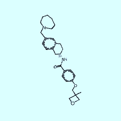 CC1(COc2ccc(C(=O)N[C@H]3CCc4cc(CN5CCCCCC5)ccc4C3)cc2)COC1